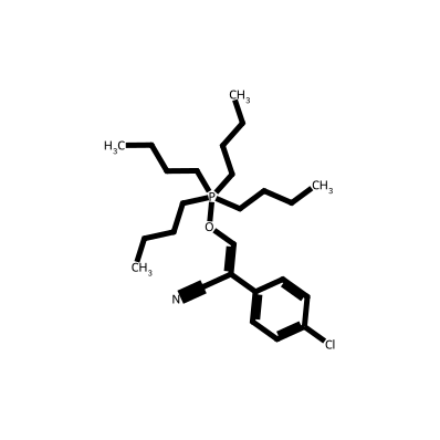 CCCCP(CCCC)(CCCC)(CCCC)O/C=C(\C#N)c1ccc(Cl)cc1